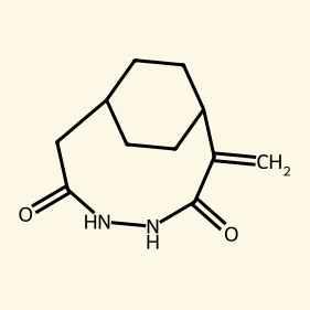 C=C1C(=O)NNC(=O)CC2CCC1CC2